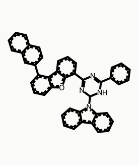 c1ccc(C2=NC(c3cccc4c3oc3cccc(-c5ccc6ccccc6c5)c34)=NC(n3c4ccccc4c4ccccc43)N2)cc1